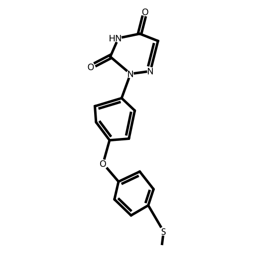 CSc1ccc(Oc2ccc(-n3ncc(=O)[nH]c3=O)cc2)cc1